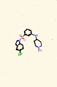 CN1CCC(Nc2cccc(S(=O)(=O)n3ccc4cc(Br)ccc43)c2)CC1